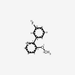 COc1cccnc1-c1cccc(F)c1